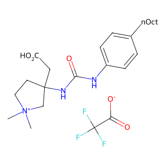 CCCCCCCCc1ccc(NC(=O)NC2(CC(=O)O)CC[N+](C)(C)C2)cc1.O=C([O-])C(F)(F)F